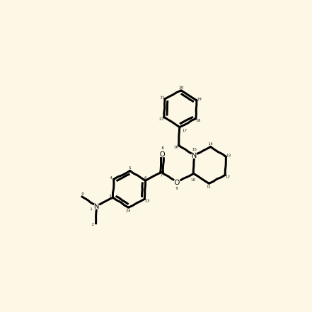 CN(C)c1ccc(C(=O)OC2CCCCN2Cc2ccccc2)cc1